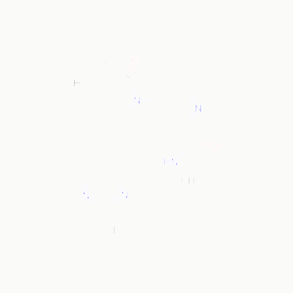 CNC(=O)c1cc(N2C(=O)C(C)(C)c3ccc(-c4cnc(C)nc4)cc32)ccn1